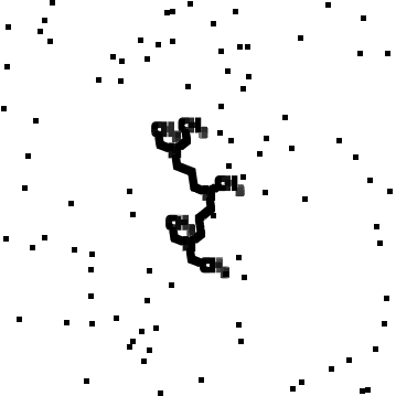 CCN(CC)CCCN(C)CCCN(CC)CC